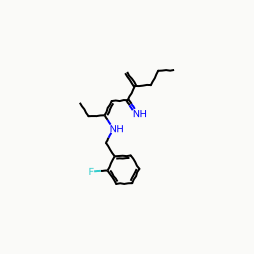 C=C(CCC)C(=N)/C=C(/CC)NCc1ccccc1F